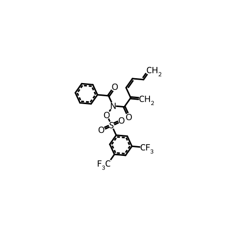 C=C/C=C\C(=C)C(=O)N(OS(=O)(=O)c1cc(C(F)(F)F)cc(C(F)(F)F)c1)C(=O)c1ccccc1